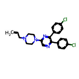 C=CCN1CCN(c2cnc(-c3ccc(Cl)cc3)c(-c3ccc(Cl)cc3)n2)CC1